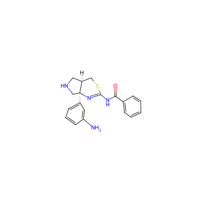 Nc1cccc([C@]23CNC[C@H]2CSC(NC(=O)c2ccccc2)=N3)c1